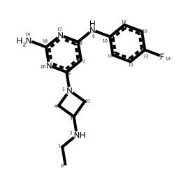 CCNC1CN(c2cc(Nc3ccc(F)cc3)nc(N)n2)C1